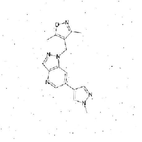 Cc1noc(C)c1Cn1ncc2ncc(-c3cnn(C)c3)cc21